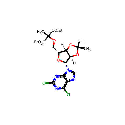 CCOC(=O)C(C)(OC[C@H]1O[C@@H](n2cnc3c(Cl)nc(Cl)nc32)[C@@H]2OC(C)(C)O[C@@H]21)C(=O)OCC